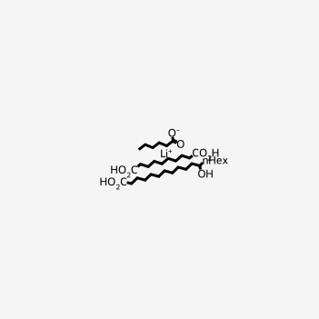 CCCCCC(=O)[O-].CCCCCCC(O)CCCCCCCCCCC(=O)O.O=C(O)CCCCCCCCC(=O)O.[Li+]